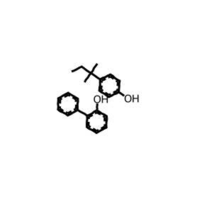 CCC(C)(C)c1ccc(O)cc1.Oc1ccccc1-c1ccccc1